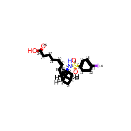 CC1(C)[C@H]2C[C@H](NS(=O)(=O)c3ccc(I)cc3)[C@@H](C/C=C\CCCC(=O)O)[C@@H]1C2